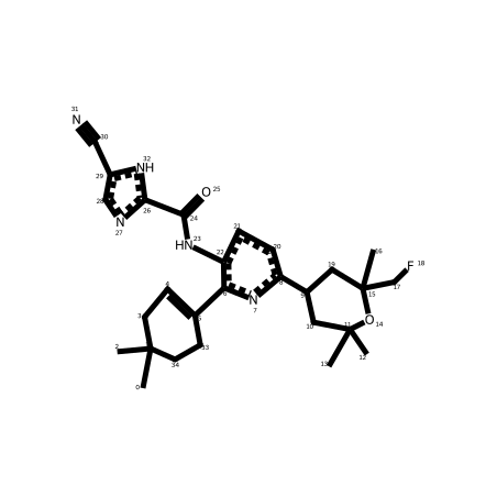 CC1(C)CC=C(c2nc(C3CC(C)(C)OC(C)(CF)C3)ccc2NC(=O)c2ncc(C#N)[nH]2)CC1